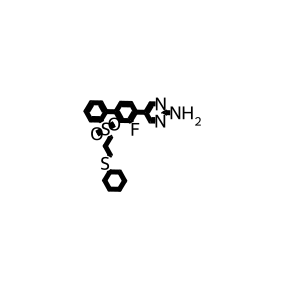 Nc1ncc(-c2ccc(-c3ccccc3S(=O)(=O)CCCSC3CCCCC3)cc2F)cn1